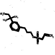 C=CCS(=O)(=O)OCCCc1cccc(C(C)(C)CC)c1